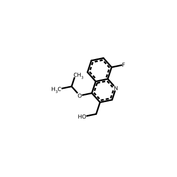 CC(C)Oc1c(CO)cnc2c(F)cccc12